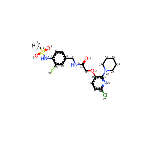 CS(=O)(=O)Nc1ccc(CNC(=O)COc2ccc(Cl)nc2N2CCCCC2)cc1F